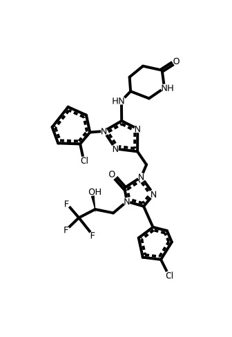 O=C1CCC(Nc2nc(Cn3nc(-c4ccc(Cl)cc4)n(C[C@H](O)C(F)(F)F)c3=O)nn2-c2ccccc2Cl)CN1